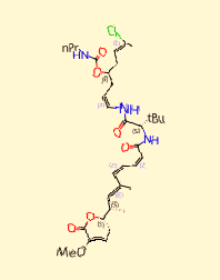 CCCNC(=O)O[C@H](C/C=C\NC(=O)[C@@H](NC(=O)\C=C/C=C\C(C)=C\[C@H](C)[C@@H]1CC=C(OC)C(=O)O1)C(C)(C)C)C/C=C(\C)Cl